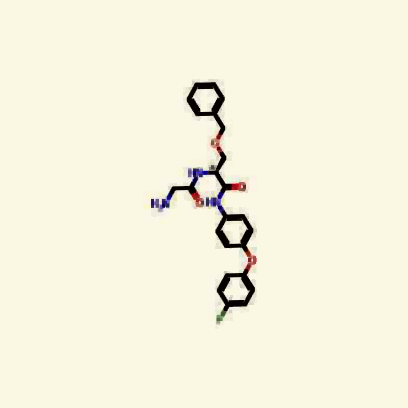 NCC(=O)N[C@@H](COCc1ccccc1)C(=O)Nc1ccc(Oc2ccc(F)cc2)cc1